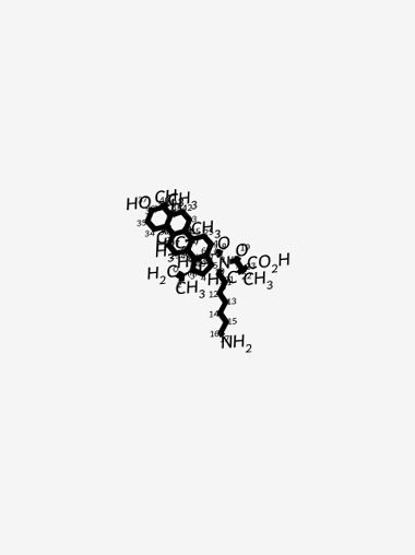 C=C(C)[C@@H]1CC[C@]2(C(=O)N(CCCCCCCN)C(=O)C(C)(C)C(=O)O)CC[C@]3(C)[C@H](CCC4[C@@]5(C)CC[C@H](O)C(C)(C)[C@@H]5CC[C@]43C)[C@@H]12